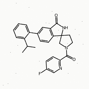 CC(C)c1ccccc1-c1ccc2c(c1)C(=O)NC21CCN(C(=O)c2ccc(F)cn2)C1